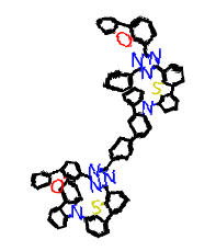 c1ccc(-c2nc(-c3cccc4c3oc3ccccc34)nc(-c3cccc4c3sc3c(-n5c6ccccc6c6cc(-c7ccc(-c8nc(-c9ccc%10c(c9)oc9ccccc9%10)nc(-c9cccc%10c9sc9c(-n%11c%12ccccc%12c%12ccccc%12%11)cccc9%10)n8)cc7)ccc65)cccc34)n2)cc1